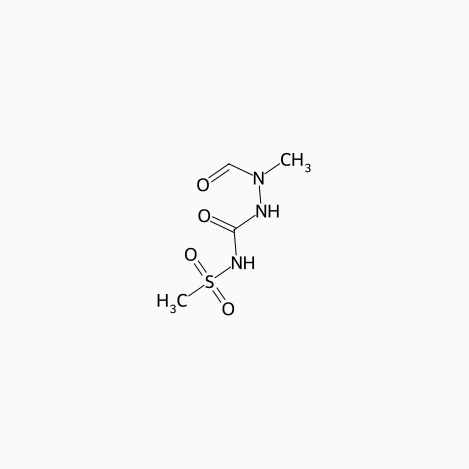 CN(C=O)NC(=O)NS(C)(=O)=O